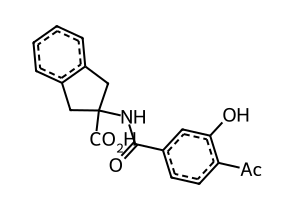 CC(=O)c1ccc(C(=O)NC2(C(=O)O)Cc3ccccc3C2)cc1O